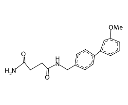 COc1cccc(-c2ccc(CNC(=O)CCC(N)=O)cc2)c1